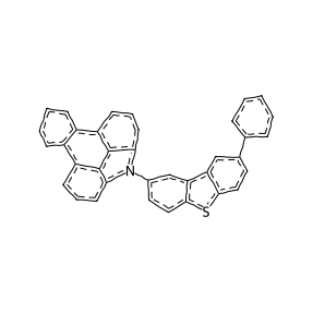 c1ccc(-c2ccc3sc4ccc(-n5c6cccc7c8ccccc8c8cccc5c8c76)cc4c3c2)cc1